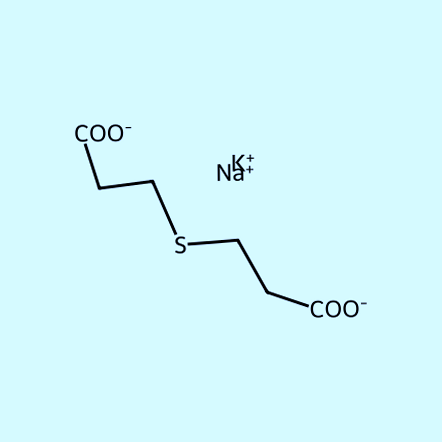 O=C([O-])CCSCCC(=O)[O-].[K+].[Na+]